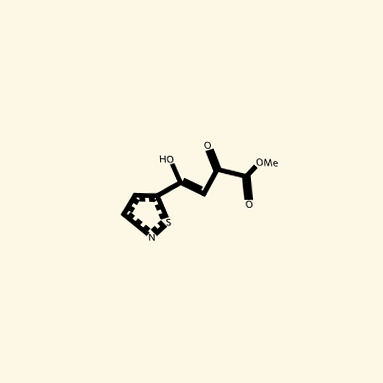 COC(=O)C(=O)/C=C(\O)c1ccns1